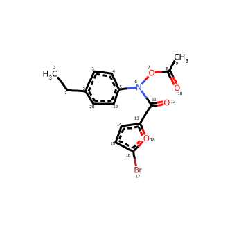 CCc1ccc(N(OC(C)=O)C(=O)c2ccc(Br)o2)cc1